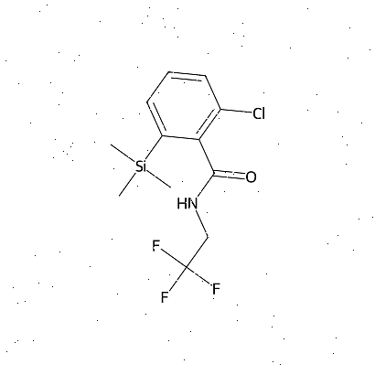 C[Si](C)(C)c1cccc(Cl)c1C(=O)NCC(F)(F)F